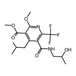 COC(=O)c1c(OC)nc(C(F)(F)F)c(C(=O)NCC(C)O)c1CC(C)C